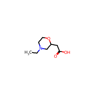 CCN1CCOC(CC(=O)O)C1